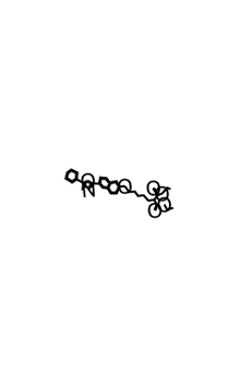 CCOC(=O)C(CCCCCOc1ccc2cc(-c3ncc(-c4ccccc4)o3)ccc2c1)C(=O)OCC